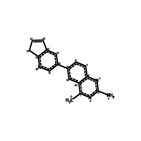 Cc1nc(N)nc2ccc(-c3cnc4c(c3)C=CC4)cc12